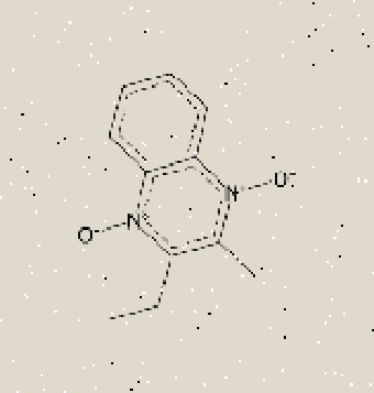 CCc1c(C)[n+]([O-])c2ccccc2[n+]1[O-]